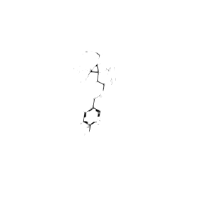 CC[C@@H](C[C@]1(N)[C@H](CC=O)[C@]1(C)F)OCc1ccc(Cl)nc1